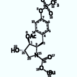 CC(=O)O[C@H]1[C@@H](Cc2ccc(OS(=O)(=O)C(F)(F)F)cc2)N(C(=O)OC(C)(C)C)C[C@@H]1O